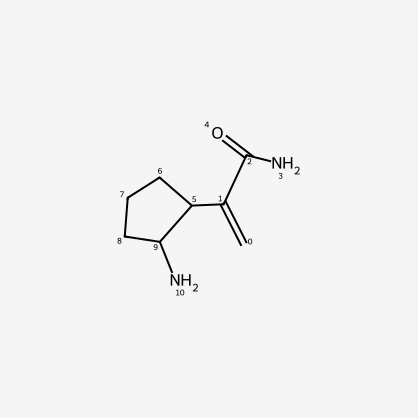 C=C(C(N)=O)C1CCCC1N